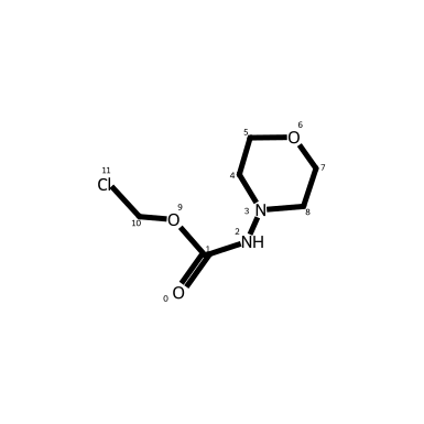 O=C(NN1CCOCC1)OCCl